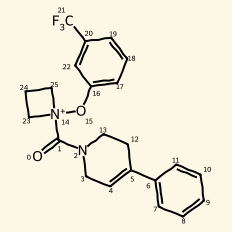 O=C(N1CC=C(c2ccccc2)CC1)[N+]1(Oc2cccc(C(F)(F)F)c2)CCC1